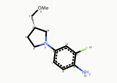 COC[C@H]1CCN(c2ccc(N)c(F)c2)C1